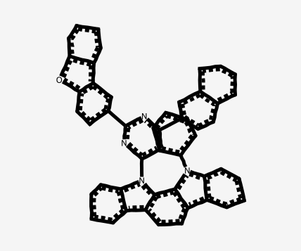 c1ccc(-n2c3ccccc3c3ccc4c5ccccc5n(-c5nc(-c6ccc7ccccc7c6)nc(-c6ccc7oc8ccccc8c7c6)n5)c4c32)cc1